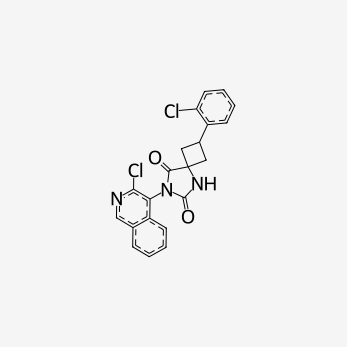 O=C1NC2(CC(c3ccccc3Cl)C2)C(=O)N1c1c(Cl)ncc2ccccc12